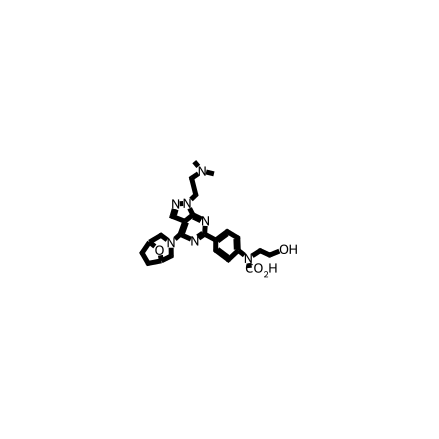 CN(C)CCn1ncc2c(N3CC4CCC(C3)O4)nc(-c3ccc(N(CCO)C(=O)O)cc3)nc21